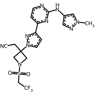 Cn1cc(Nc2nccc(-c3ccn(C4(CC#N)CN(S(=O)(=O)CC(F)(F)F)C4)n3)n2)cn1